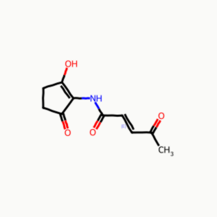 CC(=O)/C=C/C(=O)NC1=C(O)CCC1=O